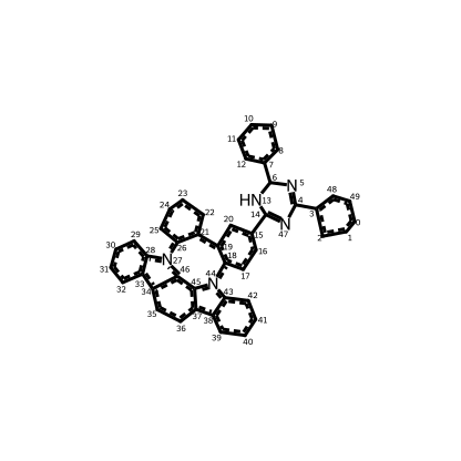 c1ccc(C2=NC(c3ccccc3)NC(c3ccc4c(c3)c3ccccc3n3c5ccccc5c5ccc6c7ccccc7n4c6c53)=N2)cc1